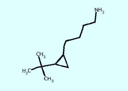 CC(C)(C)C1CC1CCCCN